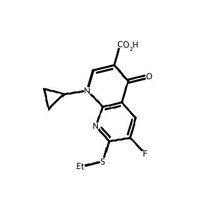 CCSc1nc2c(cc1F)c(=O)c(C(=O)O)cn2C1CC1